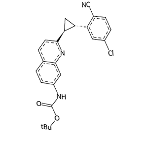 CC(C)(C)OC(=O)Nc1ccc2ccc([C@H]3C[C@@H]3c3cc(Cl)ccc3C#N)nc2c1